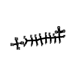 CC[N+](CC)(CC)CC.O=S(=O)([O-])C(F)(F)C(F)(F)C(F)(F)C(F)(F)C(F)(F)C(F)(F)C(F)(F)C(F)F